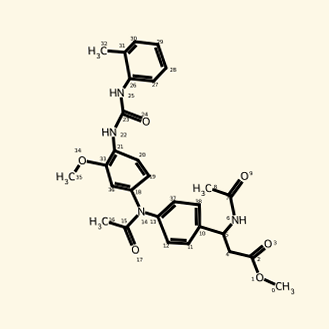 COC(=O)CC(NC(C)=O)c1ccc(N(C(C)=O)c2ccc(NC(=O)Nc3ccccc3C)c(OC)c2)cc1